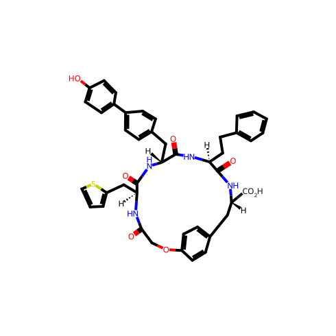 O=C1COc2ccc(cc2)C[C@@H](C(=O)O)NC(=O)[C@H](CCc2ccccc2)NC(=O)[C@@H](Cc2ccc(-c3ccc(O)cc3)cc2)NC(=O)[C@H](Cc2cccs2)N1